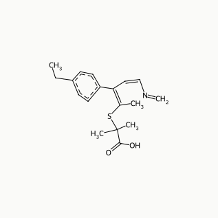 C=N/C=C\C(=C(/C)SC(C)(C)C(=O)O)c1ccc(CC)cc1